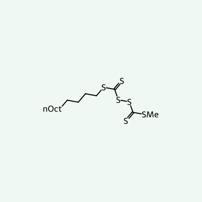 CCCCCCCCCCCCSC(=S)SSC(=S)SC